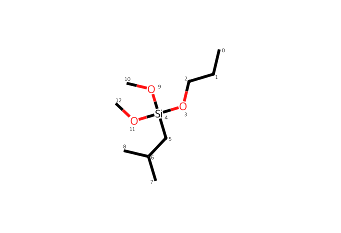 CCCO[Si](CC(C)C)(OC)OC